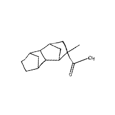 CC1(C(=O)O)CC2CC1C1C3CCC(C3)C21